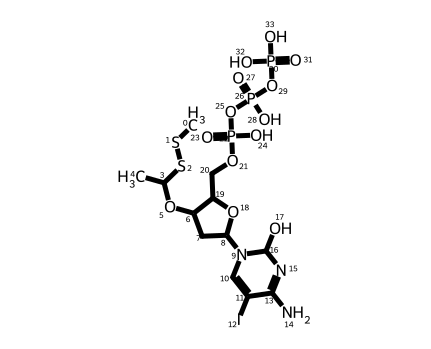 CSSC(C)OC1CC(N2C=C(I)C(N)=NC2O)OC1COP(=O)(O)OP(=O)(O)OP(=O)(O)O